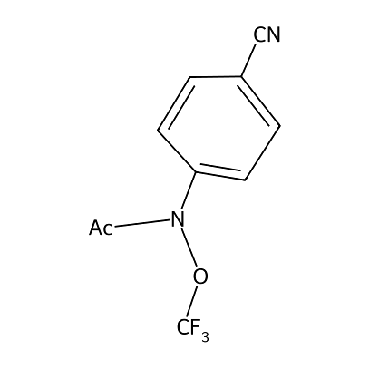 CC(=O)N(OC(F)(F)F)c1ccc(C#N)cc1